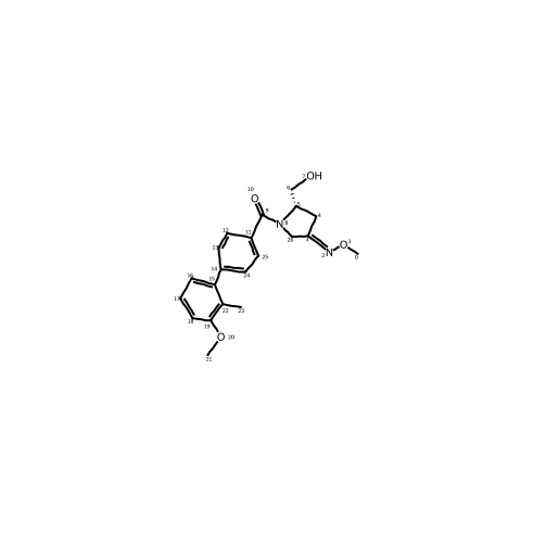 CO/N=C1\C[C@@H](CO)N(C(=O)c2ccc(-c3cccc(OC)c3C)cc2)C1